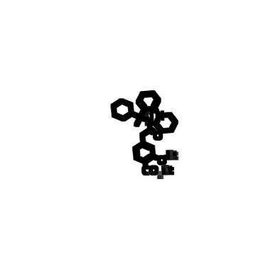 CCOC(=O)c1ccc(CC(=O)NC(C)(c2ccccc2N2CCCCC2)C2CCCCC2)cc1OCC